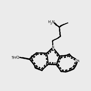 COc1ccc2c3ccncc3n(CCC(C)N)c2c1